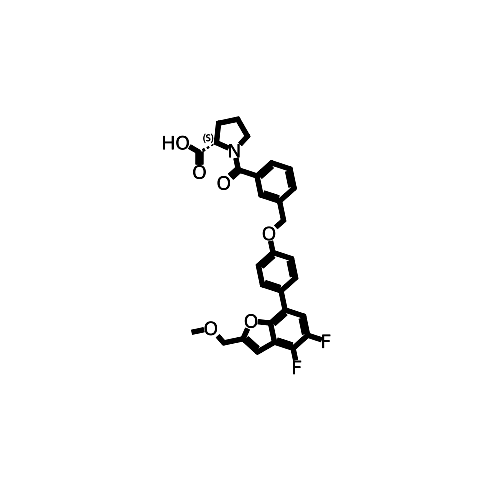 COCc1cc2c(F)c(F)cc(-c3ccc(OCc4cccc(C(=O)N5CCC[C@H]5C(=O)O)c4)cc3)c2o1